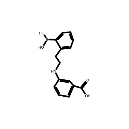 O=C(O)c1cccc(NCCc2ccccc2B(O)O)c1